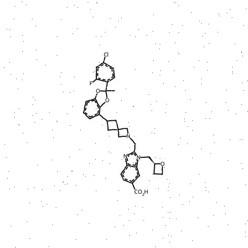 CC1(c2ccc(Cl)cc2F)Oc2cccc(C3CC4(C3)CN(Cc3nc5ccc(C(=O)O)cc5n3C[C@@H]3CCO3)C4)c2O1